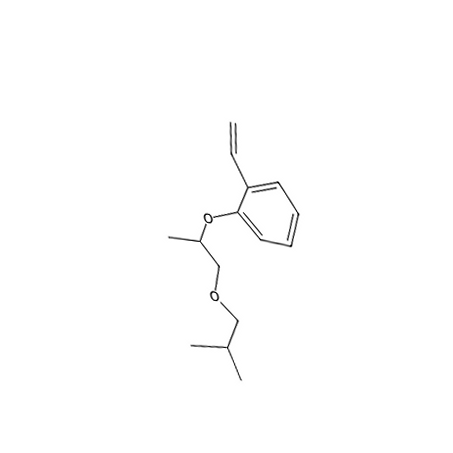 C=Cc1ccccc1OC(C)COCC(C)C